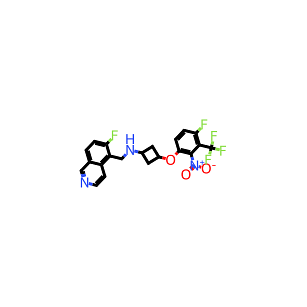 O=[N+]([O-])c1c(OC2CC(NCc3c(F)ccc4cnccc34)C2)ccc(F)c1C(F)(F)F